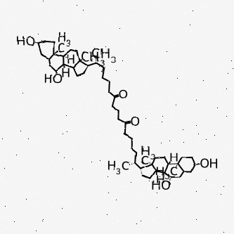 C[C@H](CCCCC(=O)CCCC(=O)CCCC[C@@H](C)[C@H]1CCC2[C@@H]3[C@@H](O)CC4C[C@H](O)CC[C@]4(C)[C@H]3CC[C@@]21C)[C@H]1CCC2[C@@H]3[C@@H](O)CC4C[C@H](O)CC[C@]4(C)[C@H]3CC[C@@]21C